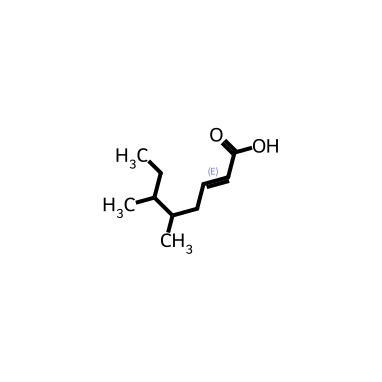 CCC(C)C(C)C/C=C/C(=O)O